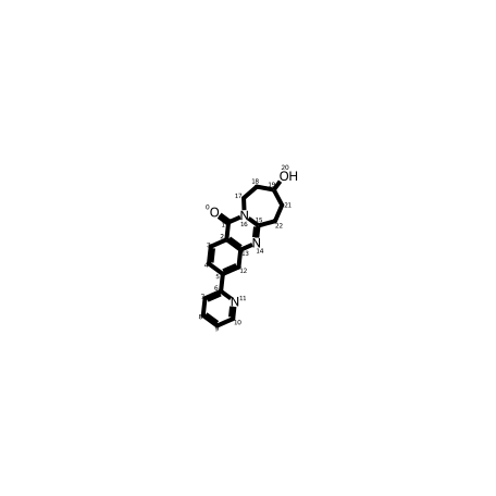 O=c1c2ccc(-c3ccccn3)cc2nc2n1CCC(O)CC2